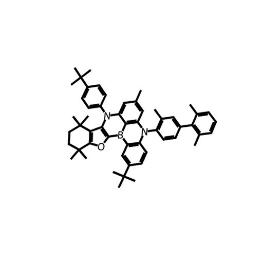 Cc1cc2c3c(c1)N(c1ccc(C(C)(C)C)cc1)c1c(oc4c1C(C)(C)CCC4(C)C)B3c1cc(C(C)(C)C)ccc1N2c1ccc(-c2c(C)cccc2C)cc1C